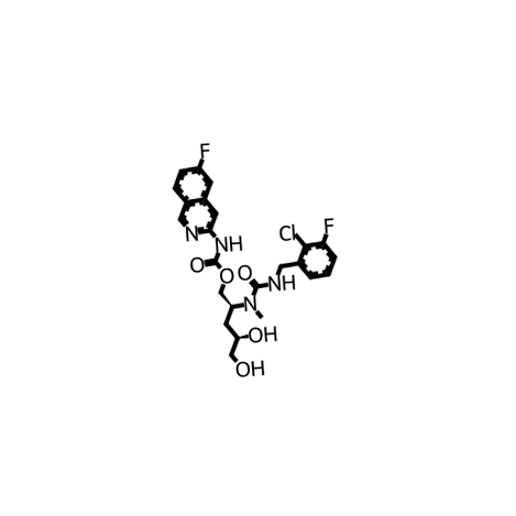 CN(C(=O)NCc1cccc(F)c1Cl)[C@H](COC(=O)Nc1cc2cc(F)ccc2cn1)C[C@@H](O)CO